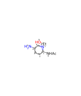 CC(=O)Nc1ccc(N)cn1.CCO